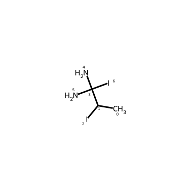 CC(I)C(N)(N)I